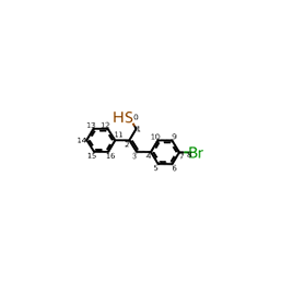 SCC(=Cc1ccc(Br)cc1)c1ccccc1